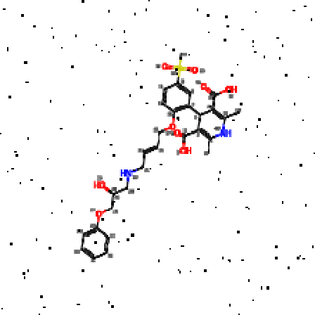 CC1=C(C(=O)O)C(c2cc(S(C)(=O)=O)ccc2OCC=CCNC[C@H](O)COc2ccccc2)C(C(=O)O)=C(C)N1